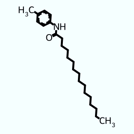 CCCCCCCCCCCCCCCC(=O)Nc1ccc(C)cc1